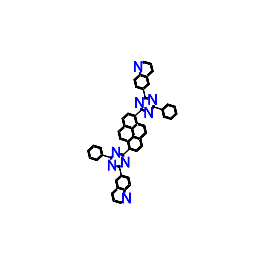 c1ccc(-c2nc(-c3ccc4ncccc4c3)nc(-c3ccc4ccc5c(-c6nc(-c7ccccc7)nc(-c7ccc8ncccc8c7)n6)ccc6ccc3c4c65)n2)cc1